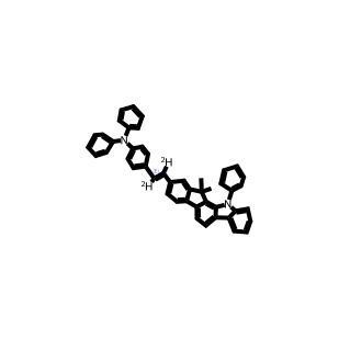 [2H]/C(=C(/[2H])c1ccc2c(c1)C(C)(C)c1c-2ccc2c3ccccc3n(-c3ccccc3)c12)c1ccc(N(c2ccccc2)c2ccccc2)cc1